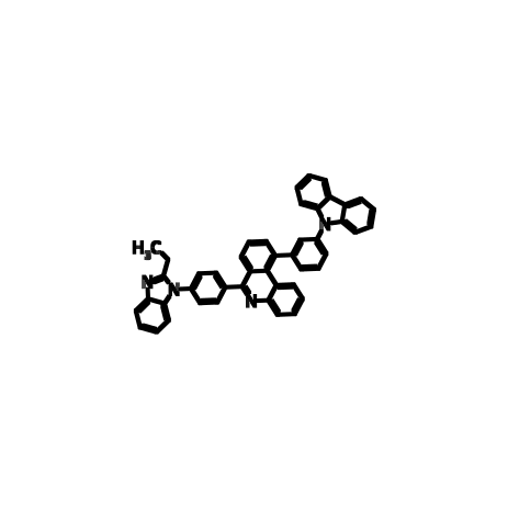 CCc1nc2ccccc2n1-c1ccc(-c2nc3ccccc3c3c(-c4cccc(-n5c6ccccc6c6ccccc65)c4)cccc23)cc1